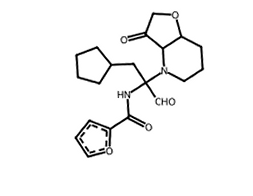 O=CC(CC1CCCC1)(NC(=O)c1ccco1)N1CCCC2OCC(=O)C21